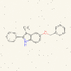 Cc1c(-c2ccccc2)[nH]c2ccc(OCc3ccccc3)cc12